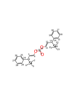 C[Si](C)(C)C(C=COC(=O)OC=CC(c1ccccc1)[Si](C)(C)C)c1ccccc1